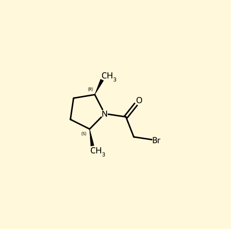 C[C@@H]1CC[C@H](C)N1C(=O)CBr